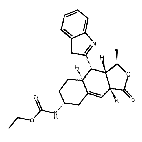 CCOC(=O)N[C@@H]1CC[C@@H]2C(=C[C@H]3C(=O)O[C@H](C)[C@H]3[C@H]2C2=Nc3ccccc3C2)C1